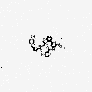 COc1cc(NC(=O)C2CNCCO2)cc(-c2cccc3c2OC(CNC(=O)c2ccc(CN4CCN(C)CC4)o2)CO3)n1